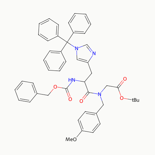 COc1ccc(CN(CC(=O)OC(C)(C)C)C(=O)C(Cc2cn(C(c3ccccc3)(c3ccccc3)c3ccccc3)cn2)NC(=O)OCc2ccccc2)cc1